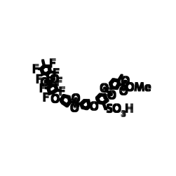 COS(=O)(=O)c1cc(S(=O)(=O)c2ccc(Oc3ccc(S(=O)(=O)c4ccc(Oc5c(F)c(F)c(S(=O)(=O)c6c(F)c(F)c(C)c(F)c6F)c(F)c5F)cc4)cc3)c(CS(=O)(=O)O)c2)ccc1C